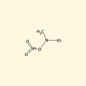 [CH2]CN(C)O[SH](=O)=O